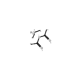 CC(=O)OC(C)=O.C[SiH2]C